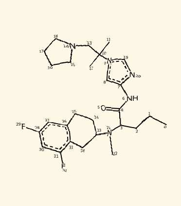 CCCC(C(=O)Nc1cn(C(C)(C)CN2CCCC2)cn1)N(C)C1CCc2cc(F)cc(F)c2C1